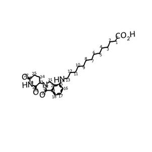 O=C(O)CCCCCCCCCCCCCNc1cccc2c1CN(C1CCC(=O)NC1=O)C2=O